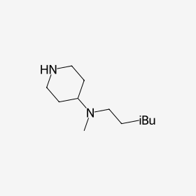 CCC(C)CCN(C)C1CCNCC1